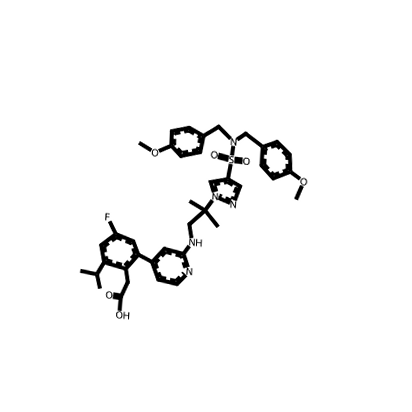 COc1ccc(CN(Cc2ccc(OC)cc2)S(=O)(=O)c2cnn(C(C)(C)CNc3cc(-c4cc(F)cc(C(C)C)c4CC(=O)O)ccn3)c2)cc1